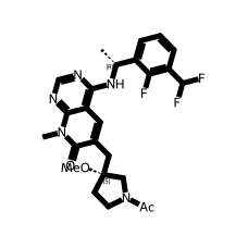 CO[C@@]1(Cc2cc3c(N[C@H](C)c4cccc(C(F)F)c4F)ncnc3n(C)c2=O)CCN(C(C)=O)C1